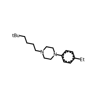 CCc1ccc(N2CCN(CCCCC(C)(C)C)CC2)cc1